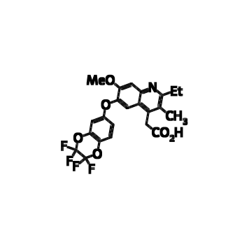 CCc1nc2cc(OC)c(Oc3ccc4c(c3)OC(F)(F)C(F)(F)O4)cc2c(CC(=O)O)c1C